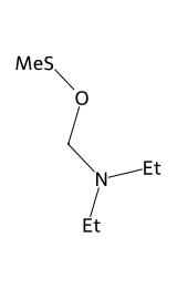 CCN(CC)COSC